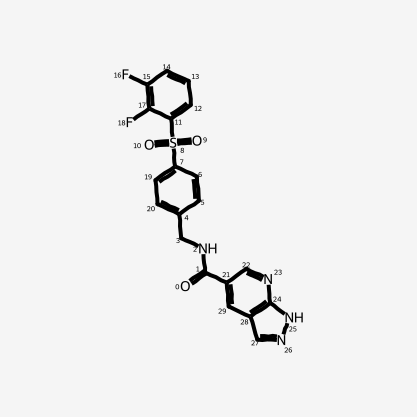 O=C(NCc1ccc(S(=O)(=O)c2cccc(F)c2F)cc1)c1cnc2[nH]ncc2c1